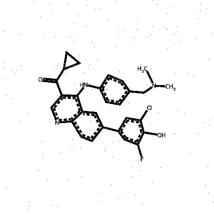 CN(C)Cc1ccc(Nc2c(C(=O)C3CC3)cnc3ccc(-c4cc(F)c(O)c(Cl)c4)cc23)cc1